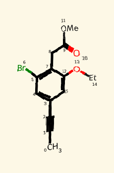 CC#Cc1cc(Br)c(CC(=O)OC)c(OCC)c1